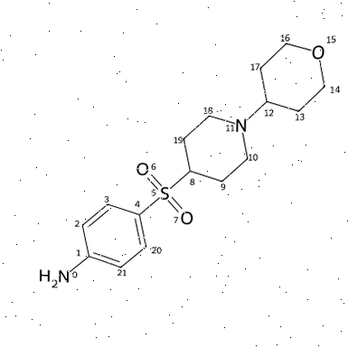 Nc1ccc(S(=O)(=O)C2CCN(C3CCOCC3)CC2)cc1